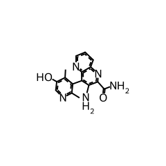 Cc1ncc(O)c(C)c1-c1c(N)c(C(N)=O)nc2cccnc12